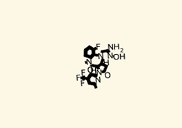 Cc1cc(C(F)(F)F)cc(N2C(=O)C[C@@H]3CN(CC(N)=NO)c4c(F)cccc4N(C)C(=O)[C@H]32)n1